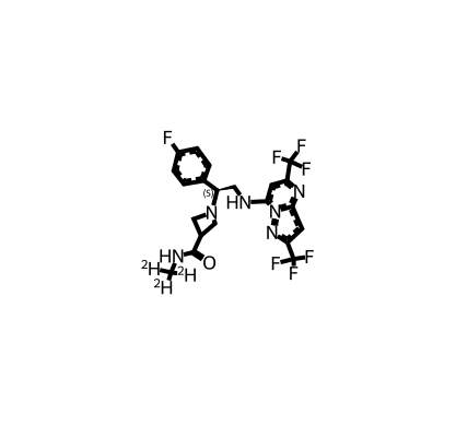 [2H]C([2H])([2H])NC(=O)C1CN([C@H](CNc2cc(C(F)(F)F)nc3cc(C(F)(F)F)nn23)c2ccc(F)cc2)C1